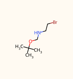 CC(C)(C)OCNCCBr